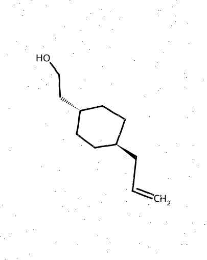 C=CC[C@H]1CC[C@H](CCO)CC1